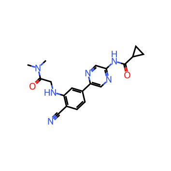 CN(C)C(=O)CNc1cc(-c2cnc(NC(=O)C3CC3)cn2)ccc1C#N